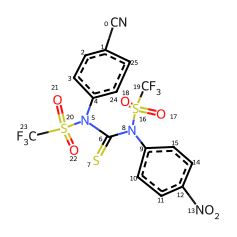 N#Cc1ccc(N(C(=S)N(c2ccc([N+](=O)[O-])cc2)S(=O)(=O)C(F)(F)F)S(=O)(=O)C(F)(F)F)cc1